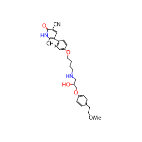 COCCc1ccc(OC[C@@H](O)CNCCCCOc2ccc(-c3cc(C#N)c(=O)[nH]c3C)cc2)cc1